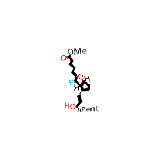 CCCCC[C@H](O)/C=C/[C@H]1CC[C@H]2O/C(=C\CCCC(=O)OC)C(F)[C@H]12